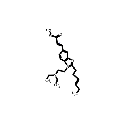 CCC=CCCc1nc2cc(/C=C/C(=O)NO)ccc2n1CCN(CC)CC